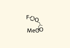 COC(=O)CC(C)CCOc1ccc(F)cc1